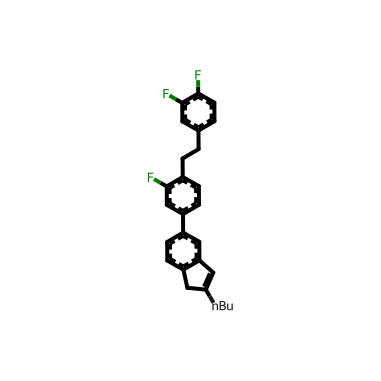 CCCCC1=Cc2cc(-c3ccc(CCc4ccc(F)c(F)c4)c(F)c3)ccc2C1